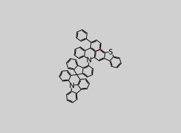 c1ccc(-c2ccccc2-c2ccccc2N(c2ccc3sc4ccccc4c3c2)c2cccc3c2-c2ccccc2C32c3ccccc3-n3c4ccccc4c4cccc2c43)cc1